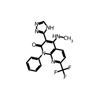 CNc1c(-c2nnc[nH]2)c(=O)n(-c2ccccc2)c2nc(C(F)(F)F)ccc12